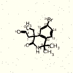 CCC1(CC=O)C(=O)NC(C)(C)c2ccc(Br)cc21